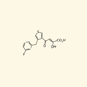 O=C(O)C(O)=CC(=O)c1cscc1Cc1cccc(F)c1